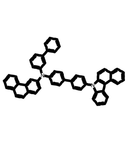 c1ccc(-c2cccc(N(c3ccc(-c4ccc(-n5c6ccccc6c6c7ccccc7ccc65)cc4)cc3)c3ccc4ccc5ccccc5c4c3)c2)cc1